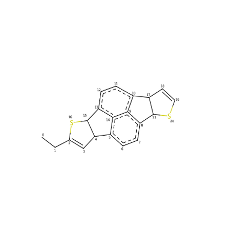 CCC1=CC2c3ccc4c5c(ccc(c35)C2S1)C1C=CSC41